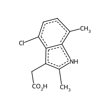 Cc1[nH]c2c(C)ccc(Cl)c2c1CC(=O)O